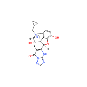 O=c1c2c([nH]c3ncnn13)[C@@H]1Oc3c(O)ccc4c3[C@@]13CCN(CC1CC1)[C@H](C4)[C@]3(O)C2